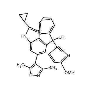 COc1ccc(C(O)(c2ccccn2)c2cc(-c3c(C)noc3C)cc3[nH]c(C4CC4)nc23)cn1